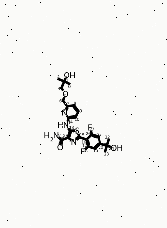 CC(C)(O)COCc1cccc(Nc2sc(-c3c(F)cc(C(C)(C)O)cc3F)nc2C(N)=O)n1